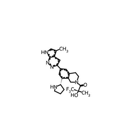 Cc1c[nH]c2nnc(-c3cc4c(c([C@@H]5CCCN5)c3)CN(C(=O)[C@](C)(O)C(F)(F)F)CC4)cc12